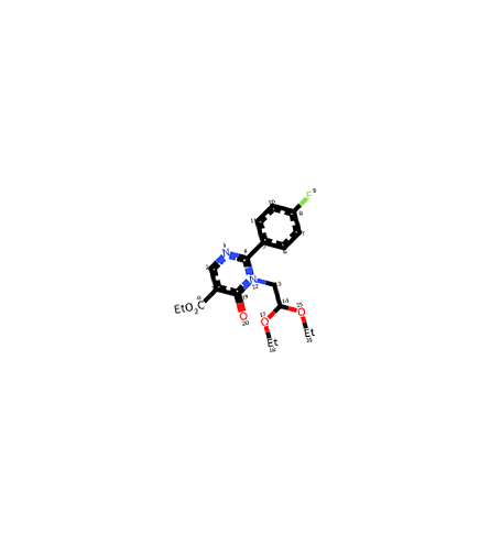 CCOC(=O)c1cnc(-c2ccc(F)cc2)n(CC(OCC)OCC)c1=O